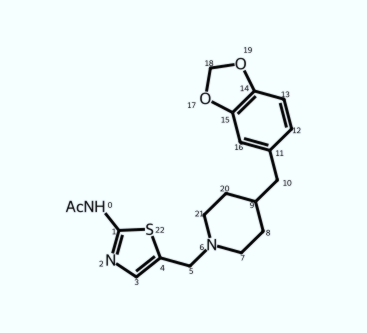 CC(=O)Nc1ncc(CN2CCC(Cc3ccc4c(c3)OCO4)CC2)s1